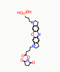 O=C(CCC[N+]1=c2cc3c(cc2CC1)=Nc1cc2c(cc1O3)N(CCCP(O)O)CC2)ON1C(=O)CCC1=O